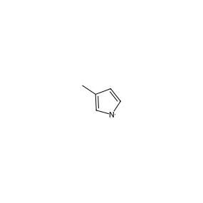 CC1=C[N]C=C1